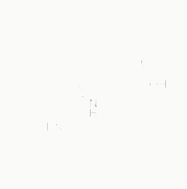 O=C(N[C@H]1CC[C@@H](C(=O)O)CC1)C(CS)Cc1ccccc1